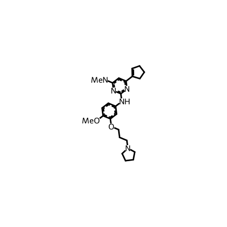 CNc1cc(C2=CCCC2)nc(Nc2ccc(OC)c(OCCCN3CCCC3)c2)n1